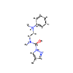 Cc1cnn(C(=O)N(C)CCN(C)c2ccccc2)c1